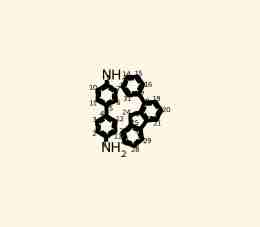 Nc1ccc(-c2ccc(N)cc2)cc1.c1ccc(-c2cccc3c2Cc2ccccc2-3)cc1